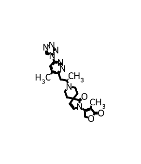 CC1=C(N2C=CC3(CCN([C@@H](C)Cc4nnc(-n5cnnn5)cc4C)CC3)C2=O)COC1=O